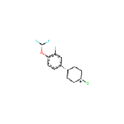 Fc1cc([C@H]2CC[Si@H](Cl)CC2)ccc1OC(F)F